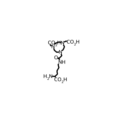 NC(CCCCNC(=O)CN1CCN(CC(=O)O)CCN(CC(=O)O)CC1)C(=O)O